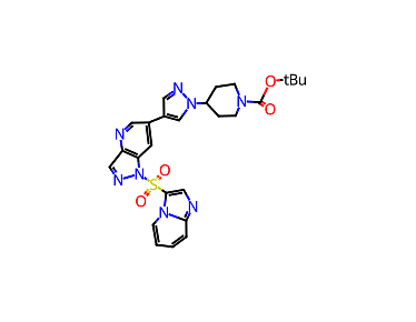 CC(C)(C)OC(=O)N1CCC(n2cc(-c3cnc4cnn(S(=O)(=O)c5cnc6ccccn56)c4c3)cn2)CC1